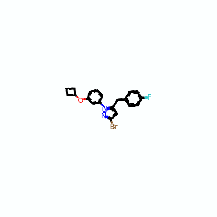 Fc1ccc(Cc2cc(Br)nn2-c2cccc(OC3CCC3)c2)cc1